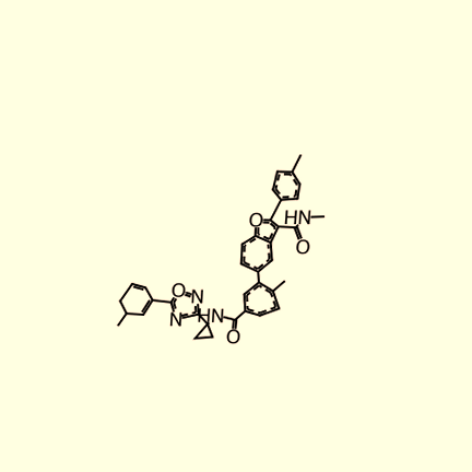 CNC(=O)c1c(-c2ccc(C)cc2)oc2ccc(-c3cc(C(=O)NC4(c5noc(C6=CC(C)CC=C6)n5)CC4)ccc3C)cc12